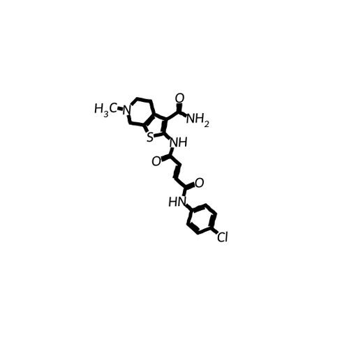 CN1CCc2c(sc(NC(=O)C=CC(=O)Nc3ccc(Cl)cc3)c2C(N)=O)C1